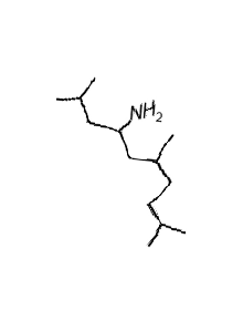 CC(C)CCC(C)CC(N)CC(C)C